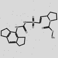 CC(C)(C)OC(=O)N1CCCC1/C=C/S(=O)(=O)NC(=O)Nc1c2c(cc3c1CCC3)CCC2